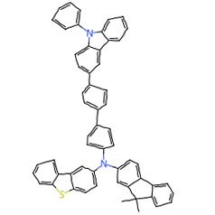 CC1(C)c2ccccc2-c2ccc(N(c3ccc(-c4ccc(-c5ccc6c(c5)c5ccccc5n6-c5ccccc5)cc4)cc3)c3ccc4sc5ccccc5c4c3)cc21